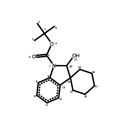 CC(C)(C)OC(=O)N1c2ccccc2C2(CCCCC2)C1O